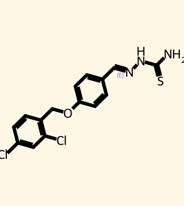 NC(=S)N/N=C/c1ccc(OCc2ccc(Cl)cc2Cl)cc1